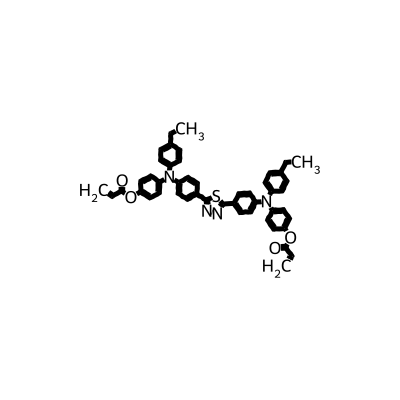 C=CC(=O)Oc1ccc(N(c2ccc(CC)cc2)c2ccc(-c3nnc(-c4ccc(N(c5ccc(CC)cc5)c5ccc(OC(=O)C=C)cc5)cc4)s3)cc2)cc1